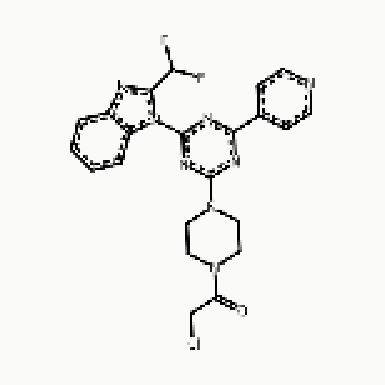 O=C(CCl)N1CCN(c2nc(-c3ccncc3)nc(-n3c(C(F)F)nc4ccccc43)n2)CC1